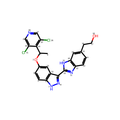 CC(Oc1ccc2[nH]nc(-c3nc4ccc(CCO)cc4[nH]3)c2c1)c1c(Cl)cncc1Cl